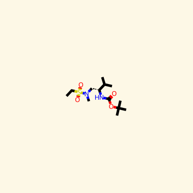 CCS(=O)(=O)N(C)C[C@@H](NC(=O)OC(C)(C)C)C(C)C